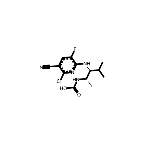 CC(C)[C@@H](Nc1nc(Cl)c(C#N)cc1F)[C@H](C)NC(=O)O